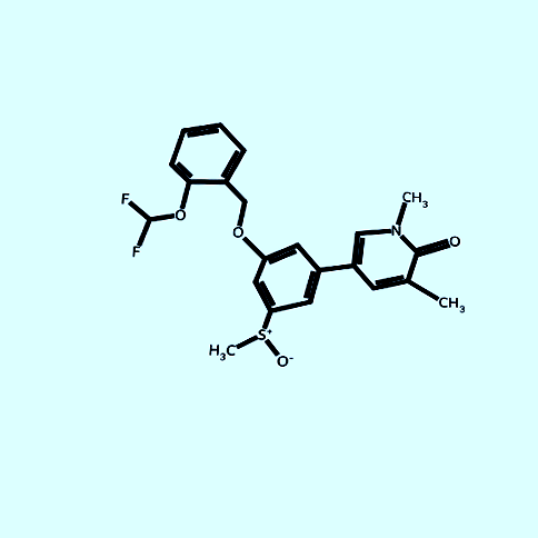 Cc1cc(-c2cc(OCc3ccccc3OC(F)F)cc([S+](C)[O-])c2)cn(C)c1=O